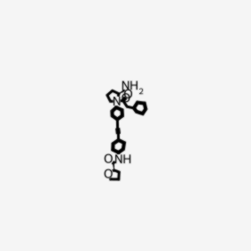 NC(=O)[C@@H]1CCC[N+]1(C(=O)Cc1ccccc1)c1ccc(C#Cc2ccc(NC(=O)[C@H]3CCCO3)cc2)cc1